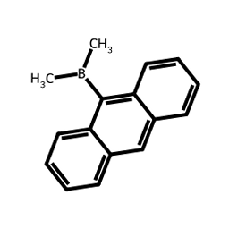 CB(C)c1c2ccccc2cc2ccccc12